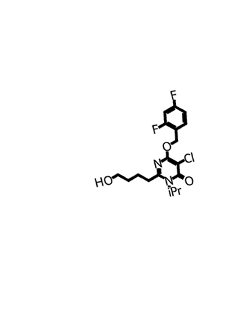 CC(C)n1c(CCCCO)nc(OCc2ccc(F)cc2F)c(Cl)c1=O